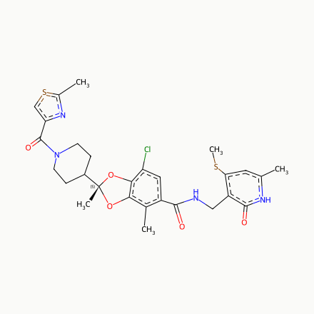 CSc1cc(C)[nH]c(=O)c1CNC(=O)c1cc(Cl)c2c(c1C)O[C@](C)(C1CCN(C(=O)c3csc(C)n3)CC1)O2